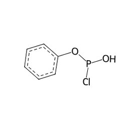 OP(Cl)Oc1ccccc1